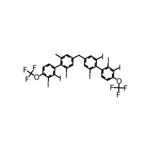 Cc1cc(Cc2cc(I)c(-c3ccc(OC(F)(F)F)c(I)c3I)c(I)c2)cc(I)c1-c1ccc(OC(F)(F)F)c(I)c1I